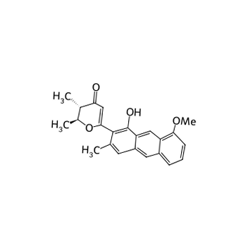 COc1cccc2cc3cc(C)c(C4=CC(=O)[C@@H](C)[C@H](C)O4)c(O)c3cc12